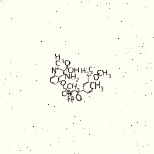 C=C(C/C=C/C(/C=C\C)C(=O)CNC(C)(C)COc1cccc2nc(C)c(C(=O)O)c(N)c12)OC